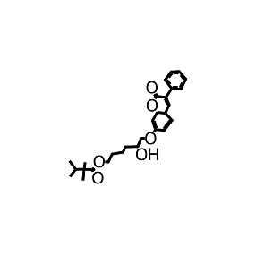 CC(C)C(C)(C)C(=O)OCCCCC(O)COC1=CC2OC(=O)C(c3ccccc3)=CC2C=C1